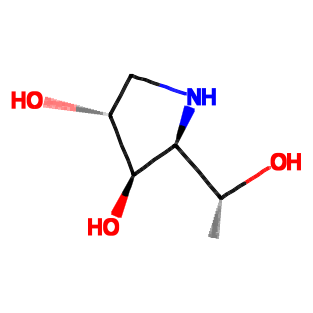 C[C@@H](O)[C@@H]1NC[C@@H](O)[C@@H]1O